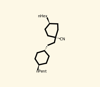 CCCCCC[C@H]1CC[C@@](C#N)(CC[C@H]2CC[C@H](CCCCC)CC2)CC1